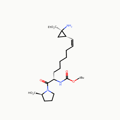 CCOC(=O)[C@@]1(N)C[C@H]1/C=C\CCCCC[C@H](NC(=O)OC(C)(C)C)C(=O)N1CCC[C@H]1C(=O)O